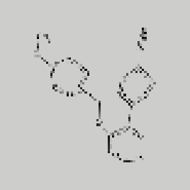 COc1ccc(COc2ccccc2-c2ccc(C#N)cn2)cc1